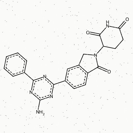 Nc1nc(-c2ccccc2)nc(-c2ccc3c(c2)CN(C2CCC(=O)NC2=O)C3=O)n1